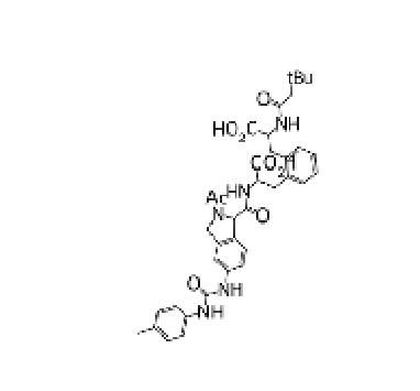 CC(=O)N1Cc2cc(NC(=O)Nc3ccc(C)cc3)ccc2C1C(=O)NC(Cc1ccccc1CC(NC(=O)CC(C)(C)C)C(=O)O)C(=O)O